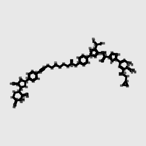 C=N/C(=C\C(=C/C)c1nc(C(=O)Nc2cn(-c3ccc(CNCCCOCCC#Cc4ccc([C@H]5CN(C6CCC(=O)NC6=O)C(=O)O5)cc4)cc3)nc2C(F)F)co1)NCC1CC1